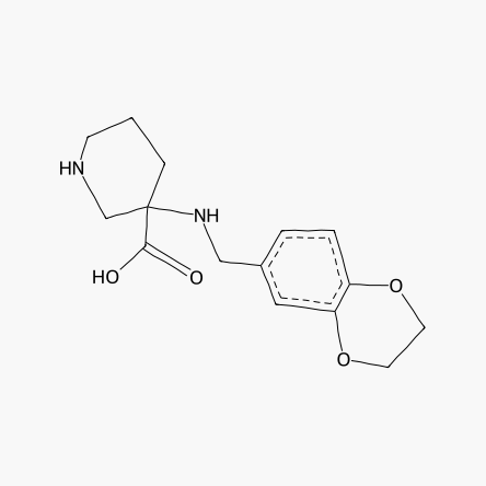 O=C(O)C1(NCc2ccc3c(c2)OCCO3)CCCNC1